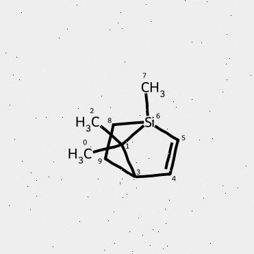 CC1(C)C2C=C[Si]1(C)CC2